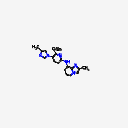 COc1nc(Nc2cccn3cc(C)nc23)ccc1-n1cnc(C)c1